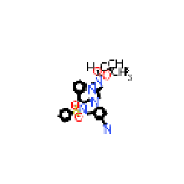 CC(C)(C)OC(=O)n1cnc(CN2CC(Cc3ccccc3)N(S(=O)(=O)c3ccccc3)Cc3cc(C#N)ccc32)c1